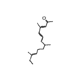 CCC(C)=CCCC(C)CC=CC(C)=CC(C)=O